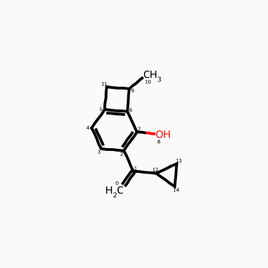 C=C(c1ccc2c(c1O)C(C)C2)C1CC1